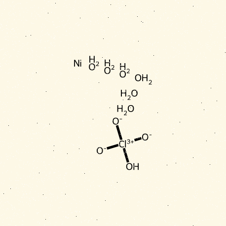 O.O.O.O.O.O.[Ni].[O-][Cl+3]([O-])([O-])O